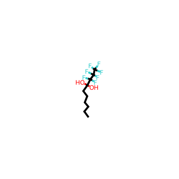 CCCCCCC(O)(O)C(F)(F)C(F)(F)C(F)(F)F